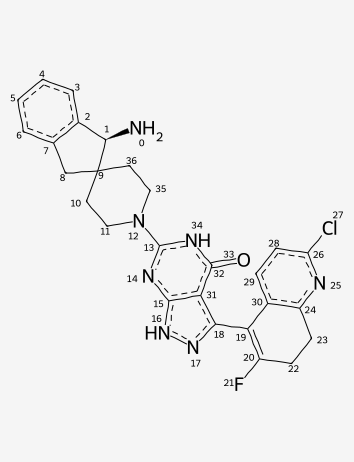 N[C@@H]1c2ccccc2CC12CCN(c1nc3[nH]nc(C4=C(F)CCc5nc(Cl)ccc54)c3c(=O)[nH]1)CC2